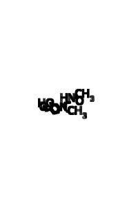 CCN(CCNC(C)=O)c1ccc(C=O)c(O)c1